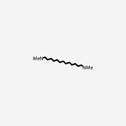 CNCCCCCCCCCCCCCNC